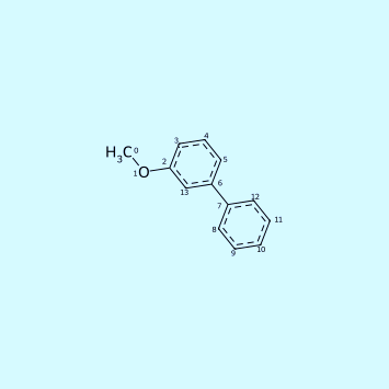 COc1[c]ccc(-c2ccccc2)c1